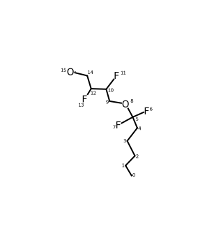 CCCCCC(F)(F)OCC(F)C(F)C[O]